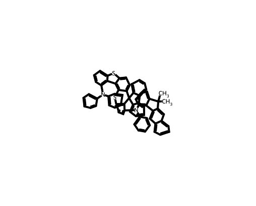 CC1(C)c2cc3ccccc3cc2-c2c(N(c3ccccc3)c3cccc4c3C3(c5ccccc5-c5ccccc53)c3ccc5sc6cccc(N(c7ccccc7)c7ccccc7)c6c5c3S4)cccc21